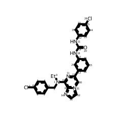 CCN(Cc1ccc(Cl)cc1)c1nc(-c2cccc(NC(=O)Nc3ccc(Cl)cc3)c2)cn2ccnc12